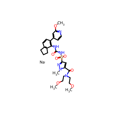 COCCN(CCOC)C(=O)c1cc(S(=O)(=O)NC(=O)Nc2c(-c3ccnc(OC)c3)ccc3c2CCC3)nn1C.[Na]